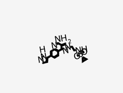 Nc1nc2cc(-c3ccn[nH]3)ccc2c2nn(CCNS(=O)(=O)C3CC3)cc12